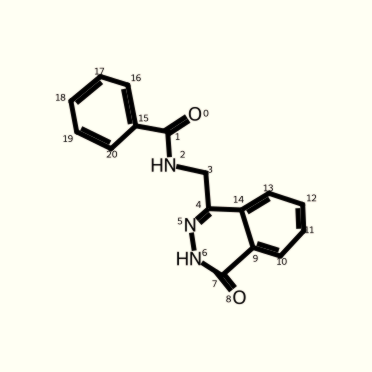 O=C(NCc1n[nH]c(=O)c2ccccc12)c1ccccc1